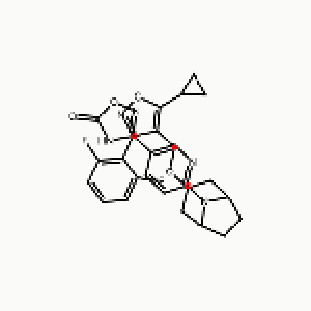 O=c1[nH]c(-c2ccc(N3C4CCC3CC(OCc3c(-c5c(F)cccc5F)noc3C3CC3)C4)nc2)no1